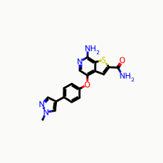 Cn1cc(-c2ccc(Oc3cnc(N)c4sc(C(N)=O)cc34)cc2)cn1